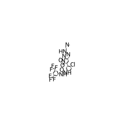 COn1c(=O)c(-c2cc(NC(=O)Nc3cc(C(F)(F)F)cc(C(F)(F)F)c3)ccc2Cl)cc2cnc(NCCN(C)C)nc21